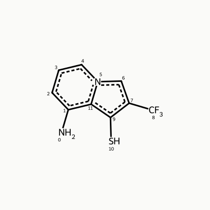 Nc1cccn2cc(C(F)(F)F)c(S)c12